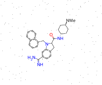 CN[C@H]1CC[C@H](NC(=O)C2Cc3ccc(C(=N)N)cc3N2Cc2cccc3ccccc23)CC1